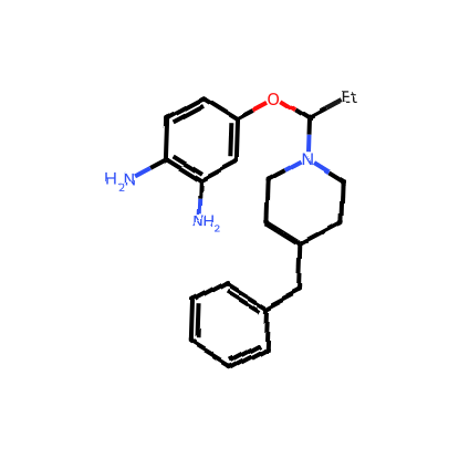 CCC(Oc1ccc(N)c(N)c1)N1CCC(Cc2ccccc2)CC1